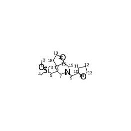 CO[Si](C)(C)CCCN(CC1CCCO1)CC1CCCO1